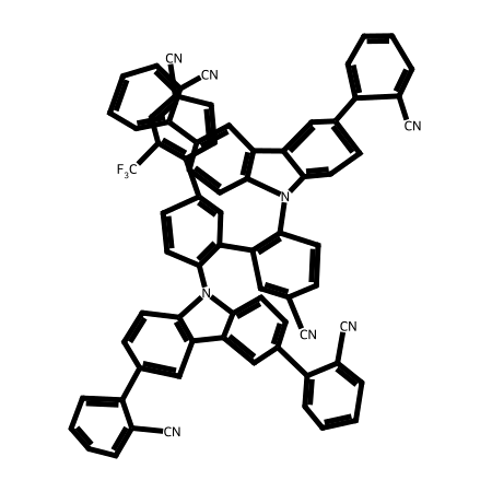 N#Cc1ccc(-n2c3ccc(-c4ccccc4C#N)cc3c3cc(-c4ccccc4C#N)ccc32)c(-c2cc(-c3ccc(C#N)cc3C(F)(F)F)ccc2-n2c3ccc(-c4ccccc4C#N)cc3c3cc(-c4ccccc4C#N)ccc32)c1